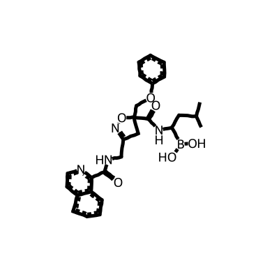 CC(C)CC(NC(=O)C1(COc2ccccc2)CC(CNC(=O)c2nccc3ccccc23)=NO1)B(O)O